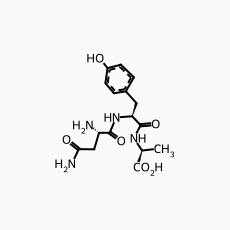 C[C@H](NC(=O)[C@H](Cc1ccc(O)cc1)NC(=O)[C@@H](N)CC(N)=O)C(=O)O